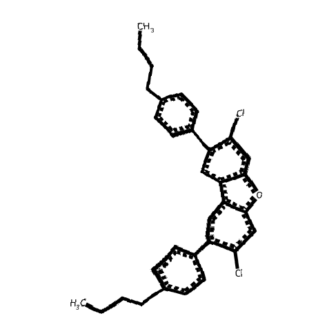 CCCCc1ccc(-c2cc3c(cc2Cl)oc2cc(Cl)c(-c4ccc(CCCC)cc4)cc23)cc1